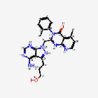 Cc1ccccc1-n1c(Cn2nc(CCCO)c3c(N)ncnc32)nc2nccc(C)c2c1=O